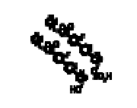 O=C1O[C@@H](Cn2ccnn2)CN1c1ccc(-c2ccc(C3=NO[C@H](CO)C3)nc2)c(F)c1.O=C1O[C@@H](Cn2ccnn2)CN1c1ccc(-c2ccc(C3=NO[C@H](COS(=O)(=O)O)C3)nc2)c(F)c1